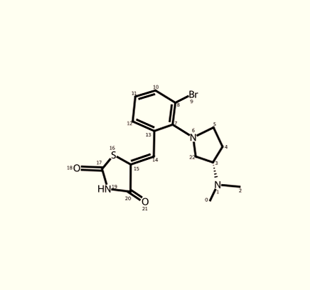 CN(C)[C@H]1CCN(c2c(Br)cccc2/C=C2\SC(=O)NC2=O)C1